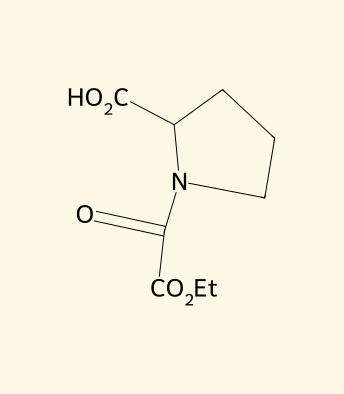 CCOC(=O)C(=O)N1CCCC1C(=O)O